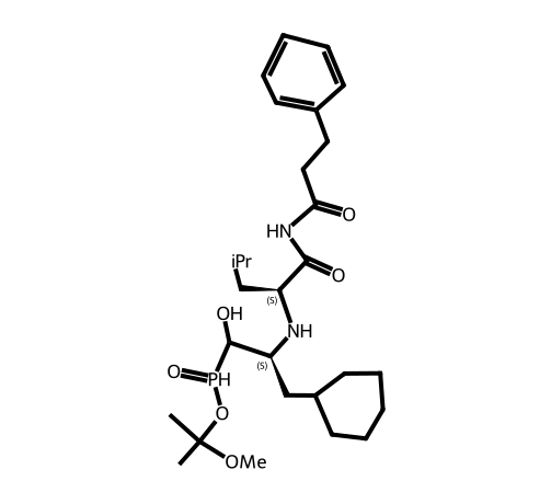 COC(C)(C)O[PH](=O)C(O)[C@H](CC1CCCCC1)N[C@@H](CC(C)C)C(=O)NC(=O)CCc1ccccc1